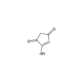 CCCC1=CC(=O)CC1=O